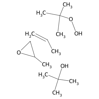 C=CC.CC(C)(C)O.CC(C)(C)OO.CC1CO1